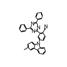 Cc1ccc2c(c1)c1ccccc1n2-c1ccc(C#N)c(-c2nc(-c3ccccc3)nc(-c3ccccc3)n2)c1